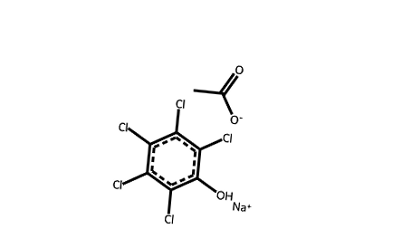 CC(=O)[O-].Oc1c(Cl)c(Cl)c(Cl)c(Cl)c1Cl.[Na+]